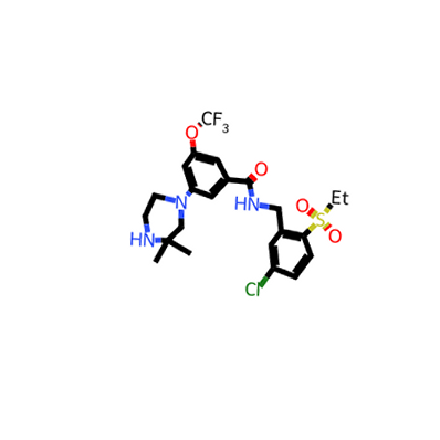 CCS(=O)(=O)c1ccc(Cl)cc1CNC(=O)c1cc(OC(F)(F)F)cc(N2CCNC(C)(C)C2)c1